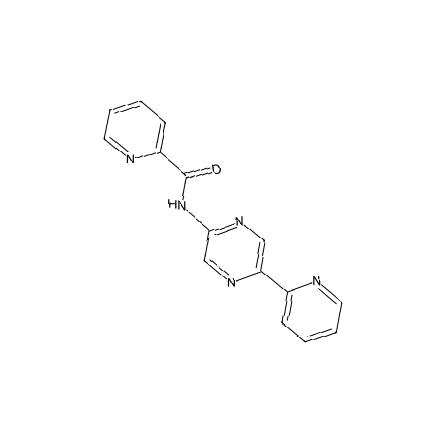 O=C(Nc1cnc(-c2ccccn2)cn1)c1ccccn1